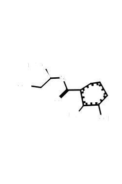 O=C(O)C[C@H](NC(=O)c1cccc(O)c1O)C(=O)O